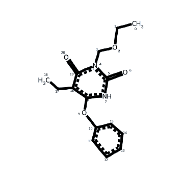 CCOCn1c(=O)[nH]c(Oc2ccccc2)c(CC)c1=O